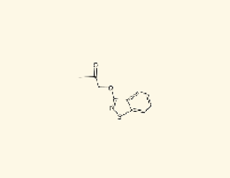 CC(=O)COc1nsc2ccccc12